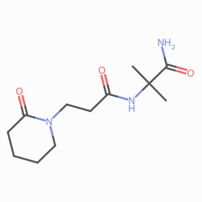 CC(C)(NC(=O)CCN1CCCCC1=O)C(N)=O